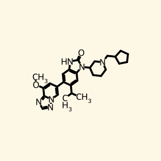 COc1cc(-c2cc3[nH]c(=O)n(C4CCCN(CC5CCCC5)C4)c3cc2C(C)C)cn2ncnc12